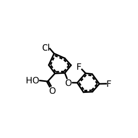 O=C(O)c1cc(Cl)ccc1Oc1ccc(F)cc1F